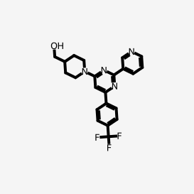 OCC1CCN(c2cc(-c3ccc(C(F)(F)F)cc3)nc(-c3cccnc3)n2)CC1